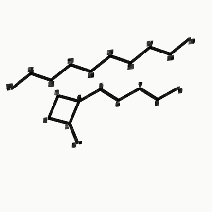 [CH2]C1CCC1CCCCC.[CH2]CCCCCCCCC